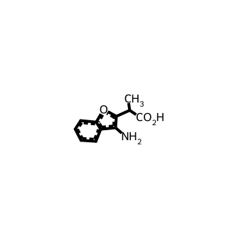 CC(C(=O)O)c1oc2ccccc2c1N